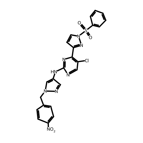 O=[N+]([O-])c1ccc(Cn2cc(Nc3ncc(Cl)c(-c4ccn(S(=O)(=O)c5ccccc5)n4)n3)cn2)cc1